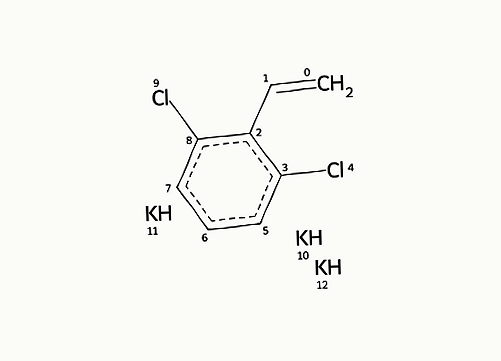 C=Cc1c(Cl)cccc1Cl.[KH].[KH].[KH]